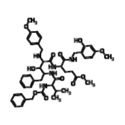 COC(=O)CCC(NC(=O)C(NCc1ccc(OC)cc1)C(O)C(Cc1ccccc1)NC(=O)C(NC(=O)OCc1ccccc1)C(C)C)C(=O)NCc1ccc(OC)cc1O